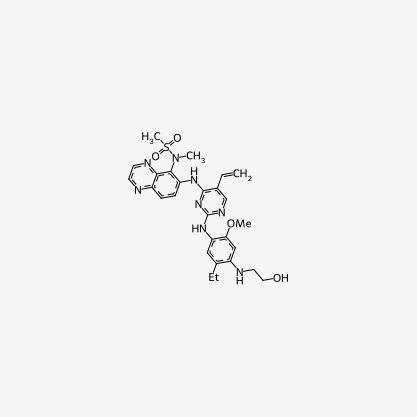 C=Cc1cnc(Nc2cc(CC)c(NCCO)cc2OC)nc1Nc1ccc2nccnc2c1N(C)S(C)(=O)=O